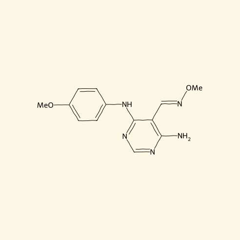 CON=Cc1c(N)ncnc1Nc1ccc(OC)cc1